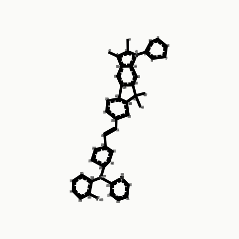 Cc1c(C)n(-c2ccccc2)c2cc3c(cc12)-c1ccc(/C=C/c2ccc(N(c4ccccn4)c4ccccc4F)cc2)cc1C3(C)C